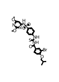 COc1cc(NS(=O)(=O)c2ccc(NC(=S)NC(=O)c3ccc(OCC(C)C)c(Br)c3)cc2)nc(OC)n1